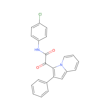 O=C(Nc1ccc(Cl)cc1)C(=O)c1c(-c2ccccc2)cc2ccccn12